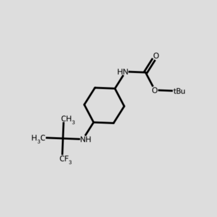 CC(C)(C)OC(=O)NC1CCC(NC(C)(C)C(F)(F)F)CC1